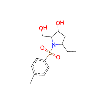 CCC1CC(O)C(CO)N1S(=O)(=O)c1ccc(C)cc1